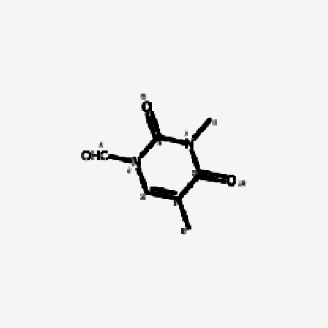 Cc1cn(C=O)c(=O)n(C)c1=O